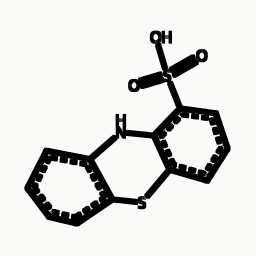 O=S(=O)(O)c1cccc2c1Nc1ccccc1S2